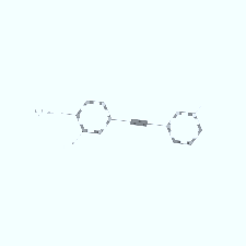 COc1ccc(C#Cc2cccc(Cl)c2)cc1Cl